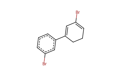 BrC1=CCCC(c2cccc(Br)c2)=C1